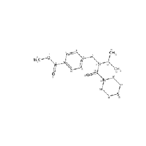 COC(=O)c1ccc(CN(C(=O)N2CCSCC2)C(C)C)cc1